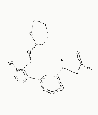 Cc1noc(-c2cccc(C(=O)CC(=O)O)c2)c1COC1CCCCO1